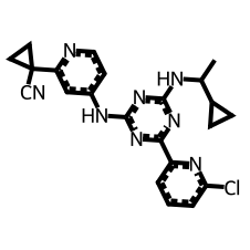 CC(Nc1nc(Nc2ccnc(C3(C#N)CC3)c2)nc(-c2cccc(Cl)n2)n1)C1CC1